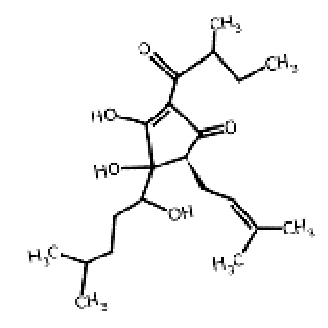 CCC(C)C(=O)C1=C(O)C(O)(C(O)CCC(C)C)[C@H](CC=C(C)C)C1=O